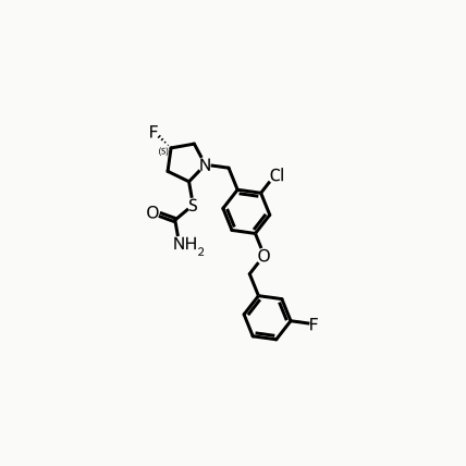 NC(=O)SC1C[C@H](F)CN1Cc1ccc(OCc2cccc(F)c2)cc1Cl